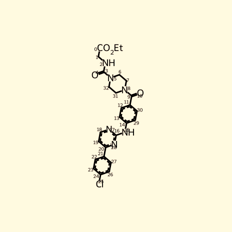 CCOC(=O)CNC(=O)N1CCN(C(=O)c2ccc(Nc3nccc(-c4ccc(Cl)cc4)n3)cc2)CC1